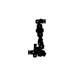 CNC(=O)c1ccc(S(=O)(=O)c2ccc(N3CC(F)(CN4CCC([C@@](CN5CCC5)(c5cccc(F)c5)[C@H]5CCC[C@@H]5NC(=O)O)CC4)C3)cc2)cc1